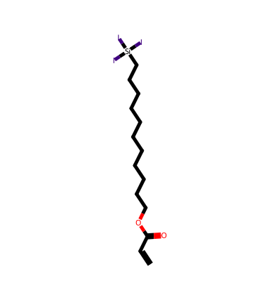 C=CC(=O)OCCCCCCCCCCC[Si](I)(I)I